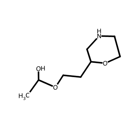 CC(O)OCCC1CNCCO1